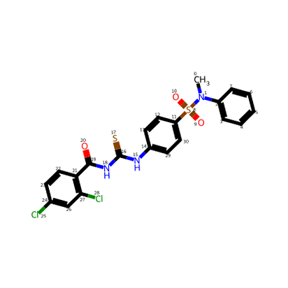 CN(c1ccccc1)S(=O)(=O)c1ccc(NC(=S)NC(=O)c2ccc(Cl)cc2Cl)cc1